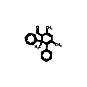 CC1=CC(C)=C(c2ccccc2)C(C)(c2ccccc2)C1[C]=O